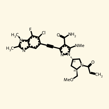 C=CC(=O)N1C[C@@H](n2nc(C#Cc3cc4nc(C)n(C)c4c(F)c3Cl)c(C(N)=O)c2NC)C[C@@H]1COC